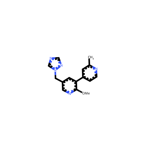 COc1ncc(Cn2cncn2)cc1-c1ccnc(C)c1